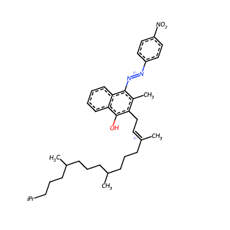 C/C(=C\Cc1c(C)c(/N=N/c2ccc([N+](=O)[O-])cc2)c2ccccc2c1O)CCCC(C)CCCC(C)CCCC(C)C